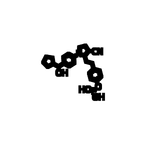 N#CC1CCN(c2ccc(C(O)C3CCCC3)cc2)C1CCc1ccc(OP(O)O)cc1